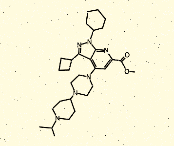 COC(=O)c1cc(N2CCN(C3CCN(C(C)C)CC3)CC2)c2c(C3CCC3)nn(C3CCCCC3)c2n1